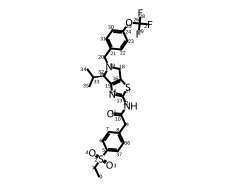 CCS(=O)(=O)c1ccc(CC(=O)Nc2nc3c(s2)CN(Cc2ccc(OC(F)(F)F)cc2)[C@@H]3C(C)C)cc1